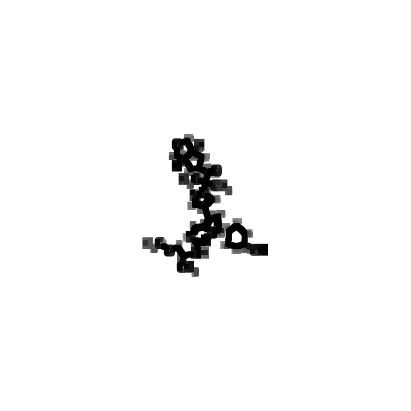 COC[C@H](C)Nc1ncc2c(-c3cnn(C(C)(C)C(=O)C4C[C@H]5COC[C@H]5C4)c3)cc([C@H]3CC[C@H](O)CC3)n2n1